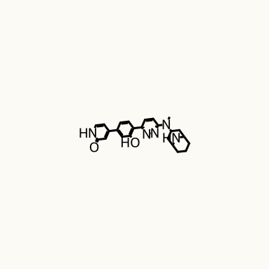 CN(c1ccc(-c2ccc(-c3cc[nH]c(=O)c3)cc2O)nn1)C1CC2CCCC(C1)N2